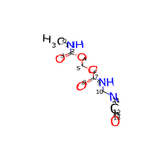 CNC(=O)OCOC(=O)NCN=C=O